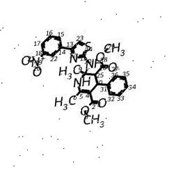 COC(=O)C1=C(C)NC(C)(Nc2nc(-c3cccc([N+](=O)[O-])c3)cs2)C(C(=O)OC)C1c1ccccc1